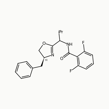 CC(C)C(NC(=O)c1c(F)cccc1F)C1=N[C@@H](Cc2ccccc2)CO1